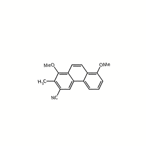 COc1cccc2c1ccc1c(OC)c(C)c(C#N)cc12